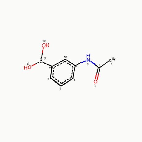 CCCC(=O)Nc1cccc(B(O)O)c1